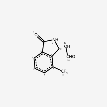 O=C1NCc2c1cccc2C(F)(F)F.O=CO